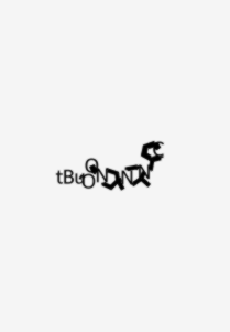 CC1CN(C2(C)CCN(C(=O)OC(C)(C)C)CC2)CCN1Cc1ccccc1